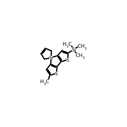 Cc1cc2c(s1)-c1sc([Si](C)(C)C)cc1[Si]21CC=CC1